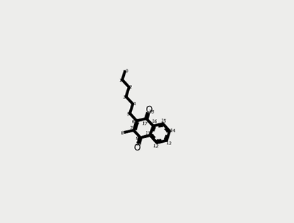 CCCCCCC1=C(C)C(=O)c2ccccc2C1=O